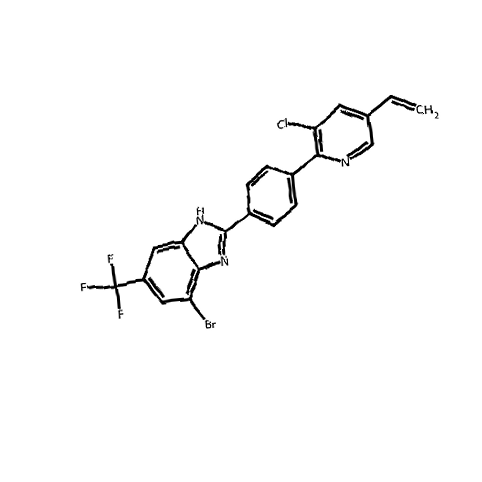 C=Cc1cnc(-c2ccc(-c3nc4c(Br)cc(C(F)(F)F)cc4[nH]3)cc2)c(Cl)c1